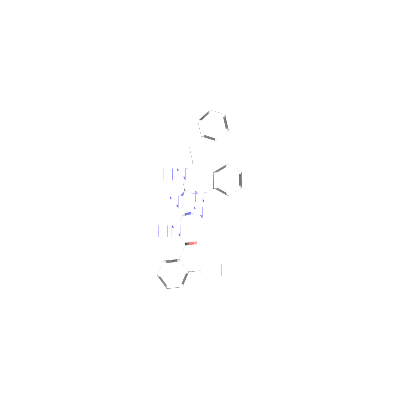 Cc1ccccc1C(=O)Nc1nc(NCCc2ccccc2)n(-c2ccccc2)n1